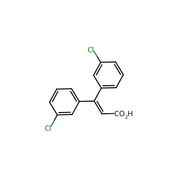 O=C(O)C=C(c1cccc(Cl)c1)c1cccc(Cl)c1